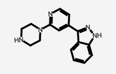 c1ccc2c(-c3ccnc(N4CCNCC4)c3)n[nH]c2c1